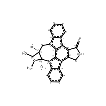 CO[C@]1(C)n2c3ccccc3c3c4c(c5c6ccccc6n(c5c32)C[C@]1(O)CO)C(=O)NC4